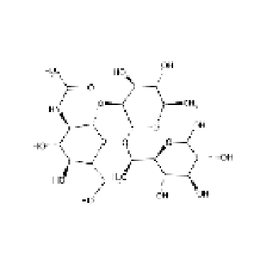 CC(=O)N[C@H]1[C@H](O[C@@H]2[C@@H](O[C@H](C)[C@H]3OC(O)[C@H](O)[C@@H](O)[C@@H]3O)O[C@H](C)[C@@H](O)[C@@H]2O)O[C@H](CO)[C@@H](O)[C@@H]1O